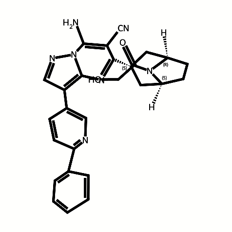 N#Cc1c([C@@H]2C[C@H]3CC[C@@H](C2)N3C(=O)CO)nc2c(-c3ccc(-c4ccccc4)nc3)cnn2c1N